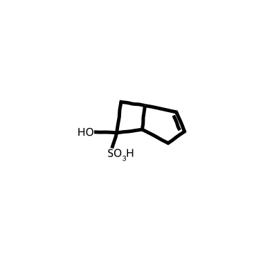 O=S(=O)(O)C1(O)CC2C=CCC21